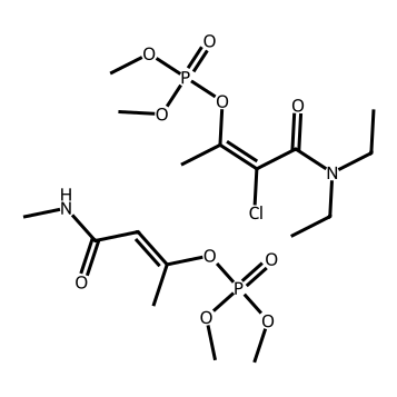 CCN(CC)C(=O)C(Cl)=C(C)OP(=O)(OC)OC.CNC(=O)/C=C(\C)OP(=O)(OC)OC